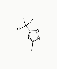 Cc1noc(C(Cl)(Cl)Cl)n1